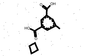 C1CCC1.Cc1cc(C(=O)O)cc(C(=O)O)c1